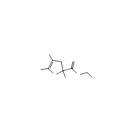 CCOC(=O)C1(N)CC(C)=C(C)S1